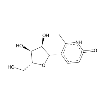 Cc1[nH]c(=O)ccc1[C@@H]1O[C@H](CO)[C@@H](O)[C@H]1O